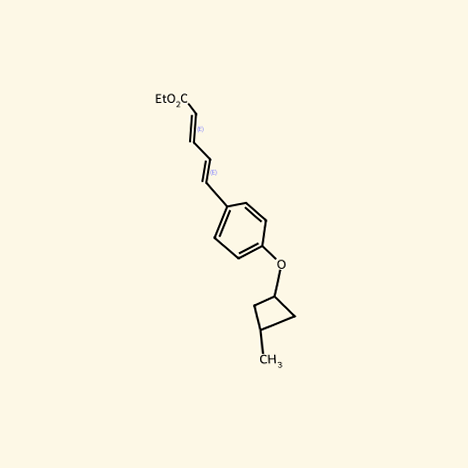 CCOC(=O)/C=C/C=C/c1ccc(OC2CC(C)C2)cc1